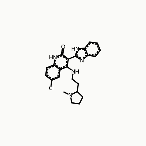 CN1CCCC1CCNc1c(-c2nc3ccccc3[nH]2)c(=O)[nH]c2ccc(Cl)cc12